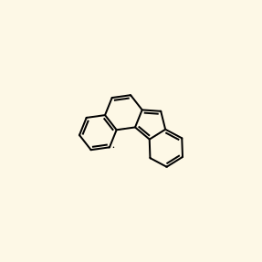 [c]1cccc2ccc3c(c12)=C1CC=CC=C1C=3